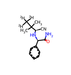 [2H]C([2H])([2H])C(C)(C)[C@@H](C#N)N[C@@H](C(N)=O)c1ccccc1